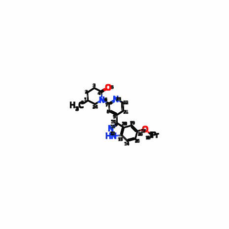 CC1CCC(=O)N(c2cc(-c3n[nH]c4ccc(OC(C)C)cc34)ccn2)C1